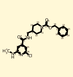 CNc1cc(C(=O)NCC2CCN(C(=O)OCc3ccccc3)CC2)cc(Cl)n1